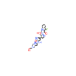 COCCN1CCn2nc(Nc3cc(-c4ccnc(-n5ccn6c(c(F)c7ccccc76)c5=O)c4CO)cn(C)c3=O)cc2C1